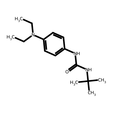 CCN(CC)c1ccc(NC(=O)NC(C)(C)C)cc1